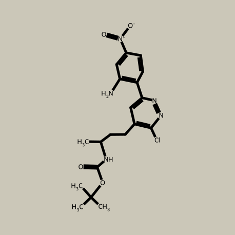 CC(CCc1cc(-c2ccc([N+](=O)[O-])cc2N)nnc1Cl)NC(=O)OC(C)(C)C